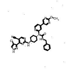 COc1ncc(-c2ccnc(N(C(=O)NCc3ccccc3)[C@H]3CC[C@H](Nc4ncc(C#N)c(-c5n[nH]cc5Cl)n4)CC3)c2)cn1